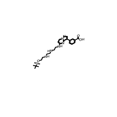 CC(C)(C)[Si](C)(C)OCCNCCNCCNc1ccn2ncc(-c3cccc(C(=O)O)c3)c2n1